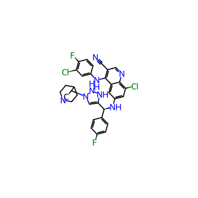 N#Cc1cnc2c(Cl)cc(N[C@H](C3=CN(C4CN5CCC4CC5)NN3)c3ccc(F)cc3)cc2c1Nc1ccc(F)c(Cl)c1